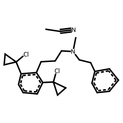 CC#N.CN(CCCc1c(C2(Cl)CC2)cccc1C1(Cl)CC1)CCc1ccccc1